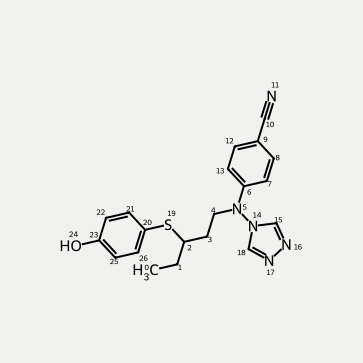 CCC(CCN(c1ccc(C#N)cc1)n1cnnc1)Sc1ccc(O)cc1